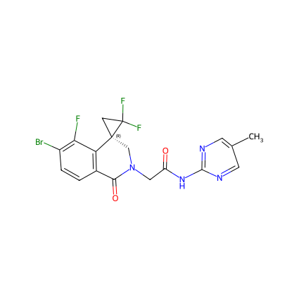 Cc1cnc(NC(=O)CN2C[C@@]3(CC3(F)F)c3c(ccc(Br)c3F)C2=O)nc1